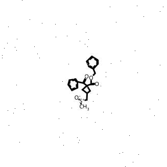 C[S+]([O-])CC1CC(C(=O)OCc2ccccc2)(C(=O)c2ccccc2)C1